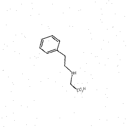 O=C(O)CNCCc1cc[c]cc1